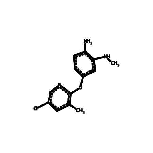 CNc1cc(Oc2ncc(Cl)cc2C)ccc1N